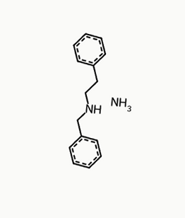 N.c1ccc(CCNCc2ccccc2)cc1